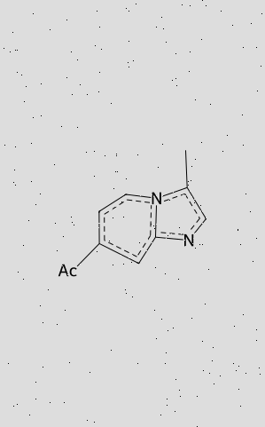 CC(=O)c1ccn2c(C)cnc2c1